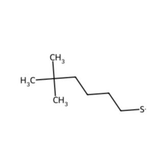 CC(C)(C)CCCC[S]